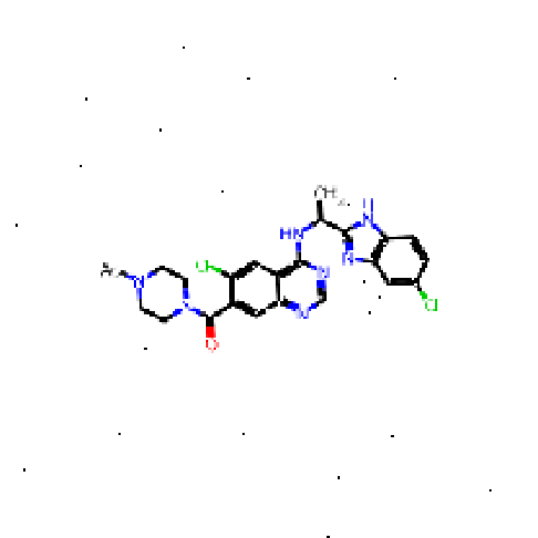 CC(=O)N1CCN(C(=O)c2cc3ncnc(NC(C)c4nc5cc(Cl)ccc5[nH]4)c3cc2Cl)CC1